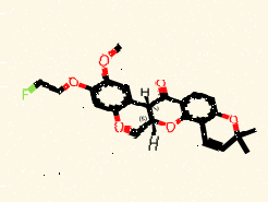 COc1cc2c(cc1OCCF)OC[C@H]1Oc3c(ccc4c3C=CC(C)(C)O4)C(=O)[C@@H]21